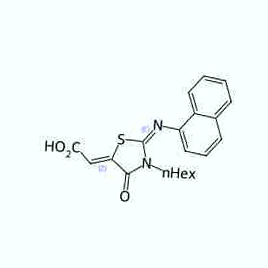 CCCCCCN1C(=O)/C(=C/C(=O)O)S/C1=N/c1cccc2ccccc12